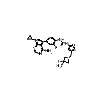 CC1(F)CN(Cc2cc(NC(=O)Nc3ccc(-c4cn(C5CC5)c5ncnc(N)c45)cc3F)on2)C1